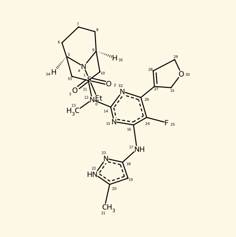 CCS(=O)(=O)N1[C@@H]2CCC[C@H]1CC(N(C)c1nc(Nc3cc(C)[nH]n3)c(F)c(C3=CCOC3)n1)C2